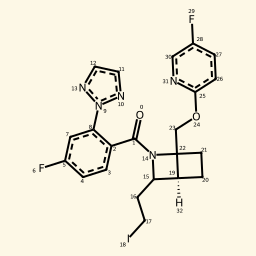 O=C(c1ccc(F)cc1-n1nccn1)N1C(CCI)[C@@H]2CCC21COc1ccc(F)cn1